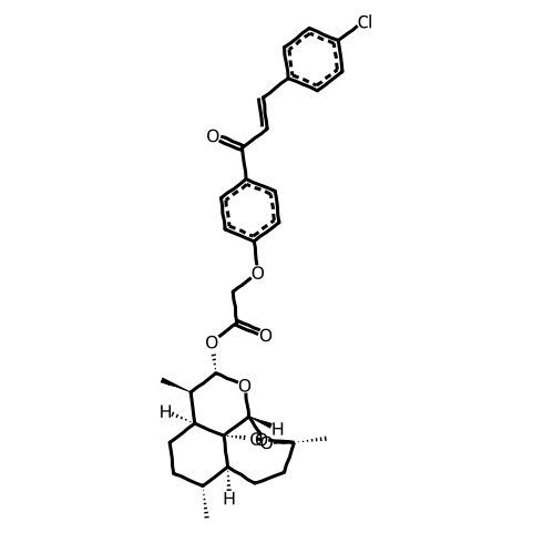 C[C@H]1[C@H](OC(=O)COc2ccc(C(=O)/C=C/c3ccc(Cl)cc3)cc2)O[C@@H]2O[C@]3(C)CC[C@H]4[C@H](C)CC[C@@H]1[C@@]24OO3